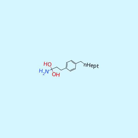 CCCCCCCCc1ccc(CCC(N)(O)O)cc1